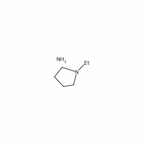 CCN1CCCC1.N